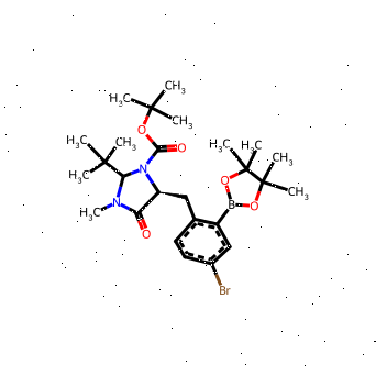 CN1C(=O)[C@H](Cc2ccc(Br)cc2B2OC(C)(C)C(C)(C)O2)N(C(=O)OC(C)(C)C)C1C(C)(C)C